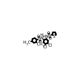 Cc1ccc(S(=O)(=O)Nc2cc(Cl)c(Cl)cc2NS(=O)(=O)c2cccs2)c(C)c1